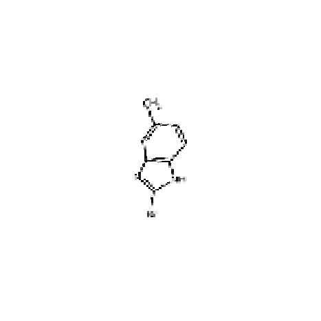 Cc1ccc2[nH]c(Br)nc2c1